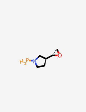 PN1CC[C@H]([C@@H]2CO2)C1